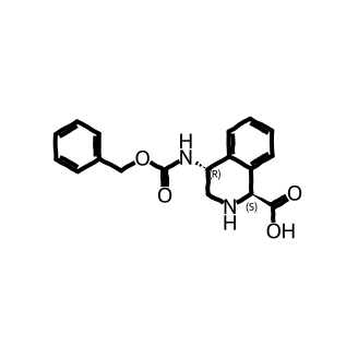 O=C(N[C@H]1CN[C@H](C(=O)O)c2ccccc21)OCc1ccccc1